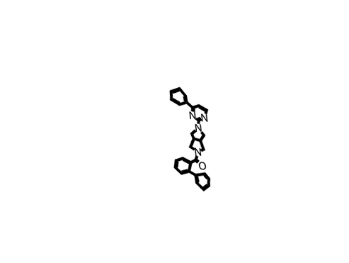 O=C(c1ccccc1-c1ccccc1)N1CC2CN(c3nccc(-c4ccccc4)n3)CC2C1